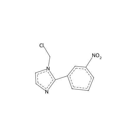 O=[N+]([O-])c1cccc(-c2nccn2CCl)c1